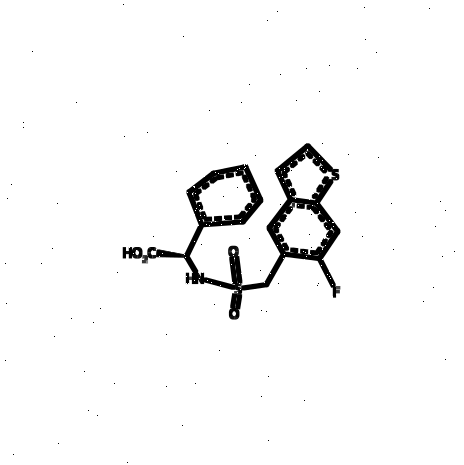 O=C(O)[C@H](NS(=O)(=O)Cc1cc2ccsc2cc1F)c1ccccc1